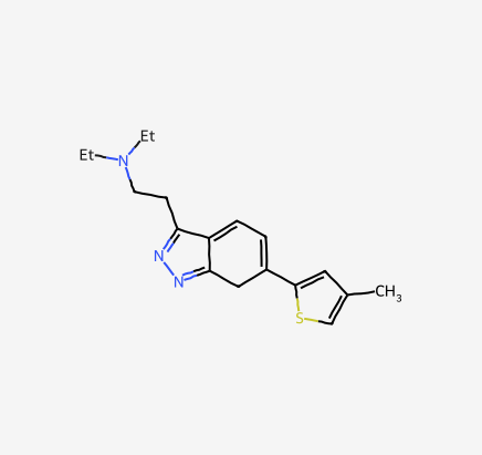 CCN(CC)CCC1=NN=C2CC(c3cc(C)cs3)=CC=C12